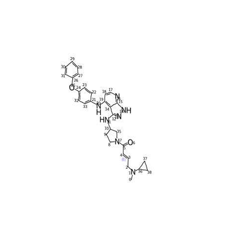 CN(C/C=C/C(=O)N1CCC(Nc2n[nH]c3nccc(Nc4ccc(Oc5ccccc5)cc4)c23)C1)C1CC1